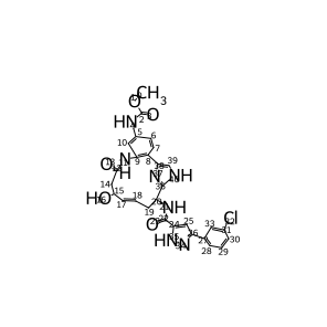 COC(=O)Nc1ccc2c(c1)NC(=O)CC(O)/C=C/C[C@H](NC(=O)c1cc(-c3cccc(Cl)c3)n[nH]1)c1nc-2c[nH]1